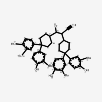 C#CC(C1CCC(c2ccc(O)c(C(C)(C)C)c2)(c2ccc(O)c(C(C)(C)C)c2)CC1)C(CC)C1CCC(c2ccc(O)c(C(C)(C)C)c2)(c2ccc(O)c(C(C)(C)C)c2)CC1